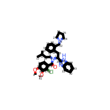 COc1ccc(C(=O)N(CCC(C)C)C(Cc2ccccc2CN2CCCC2)c2nc3ccccc3[nH]2)c(Cl)c1OC